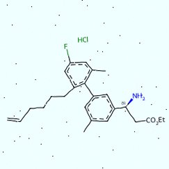 C=CCCCCc1cc(F)cc(C)c1-c1cc(C)cc([C@@H](N)CC(=O)OCC)c1.Cl